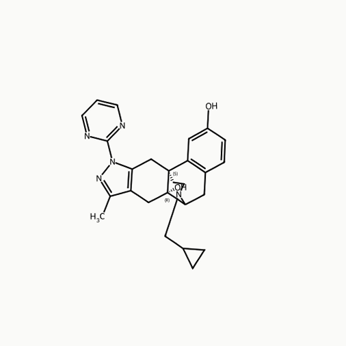 Cc1nn(-c2ncccn2)c2c1C[C@]1(O)C3Cc4ccc(O)cc4[C@]1(CCN3CC1CC1)C2